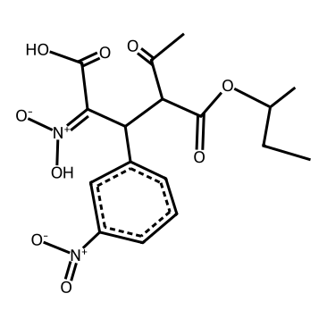 CCC(C)OC(=O)C(C(C)=O)C(C(C(=O)O)=[N+]([O-])O)c1cccc([N+](=O)[O-])c1